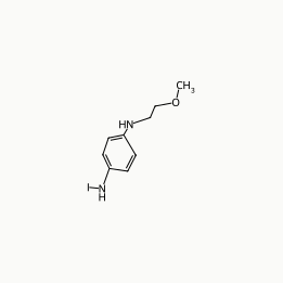 COCCNc1ccc(NI)cc1